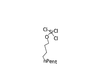 CCCCCCCCCO[Si](Cl)(Cl)Cl